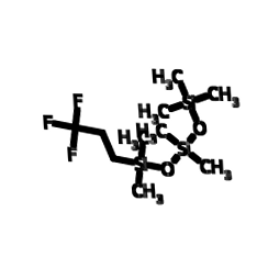 C[Si](C)(C)O[Si](C)(C)O[Si](C)(C)CCC(F)(F)F